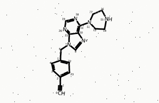 C#Cc1ccc(Cn2cnc3c(N4CCNCC4)ncnc32)cc1